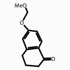 COCOc1ccc2c(c1)CCCC2=O